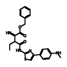 CCC(C(=N)C(=O)OCc1ccccc1)C(=O)Nc1nc(-c2ccc(NC)cc2)cs1